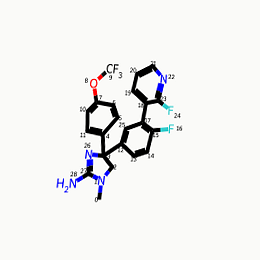 CN1CC(c2ccc(OC(F)(F)F)cc2)(c2ccc(F)c(-c3cccnc3F)c2)N=C1N